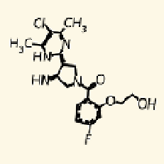 CC1=N/C(=C2\CN(C(=O)c3ccc(F)cc3OCCO)CC2=N)NC(C)=C1Cl